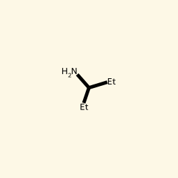 [CH2]CC(N)CC